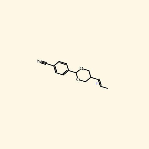 C/C=C/C1COC(c2ccc(C#N)cc2)OC1